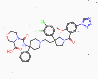 COc1ccc(-n2cnnn2)cc1C(=O)N1CCC(CCN2CCC(NC(=O)N3CCOCC3C(=O)O)(c3ccccc3)CC2)(c2ccc(Cl)c(Cl)c2)C1